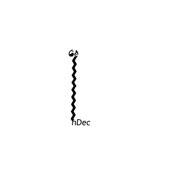 [CH2]CCCCCCCCCCCCCCCCCCCCCCCCCC[CH2][Ge]([CH3])([CH3])[CH3]